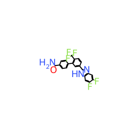 NC(=O)c1ccc(-c2cc(-c3nc4cc(F)c(F)cc4[nH]3)ccc2C(F)(F)F)cc1